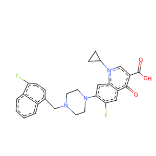 O=C(O)c1cn(C2CC2)c2cc(N3CCN(Cc4ccc(F)c5ccccc45)CC3)c(F)cc2c1=O